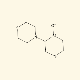 [O-][S+]1CC[N]CC1N1CCSCC1